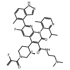 C=C(F)C(=O)N1CCC(c2c(C(=O)NCCN(C)C)c(=O)n(-c3c(C)ccnc3C(C)C)c3nc(-c4c(C)ccc5[nH]ncc45)c(F)cc23)[C@@H](C)C1